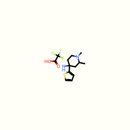 CC1CC(N)(c2cccs2)CCN1C.O=C(O)C(F)(F)F